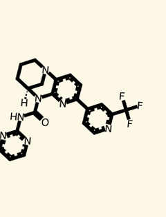 O=C(Nc1ncccn1)N1c2nc(-c3ccnc(C(F)(F)F)c3)ccc2N2CCC[C@H]1C2